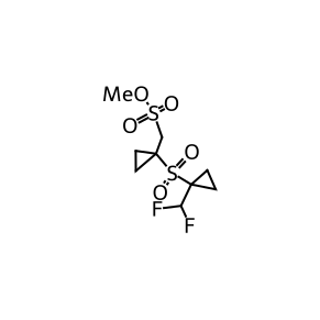 COS(=O)(=O)CC1(S(=O)(=O)C2(C(F)F)CC2)CC1